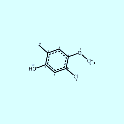 Cc1cc(OC(F)(F)F)c(Cl)cc1O